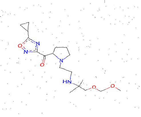 COCOCC(C)(C)NCCN1CCCC1C(=O)c1noc(C2CC2)n1